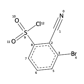 N#Cc1c(Br)cccc1S(=O)(=O)Cl